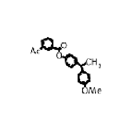 COc1ccc(C(C)c2ccc(OC(=O)c3cccc(C(C)=O)c3)cc2)cc1